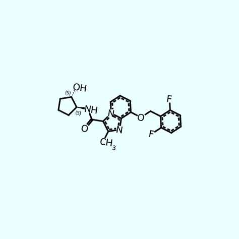 Cc1nc2c(OCc3c(F)cccc3F)cccn2c1C(=O)N[C@H]1CCC[C@@H]1O